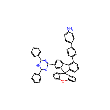 Nc1ccc(-c2ccc(-c3cccc4c3-c3ccc(C5=NC(c6ccccc6)NC(c6ccccc6)=N5)cc3C43c4ccccc4Oc4ccccc43)cc2)cc1